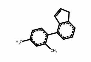 Cc1ccc(-c2cccc3c2C=C[CH]3)c(C)c1